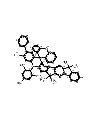 Cc1cc(C)c(N2c3cc(C)c(-c4ccccc4)cc3C3(c4ccccc4Oc4ccccc43)c3cc4c(cc32)C(C)(C)c2cc3c(cc2-4)C(C)(C)c2ccccc2-3)c(C)c1